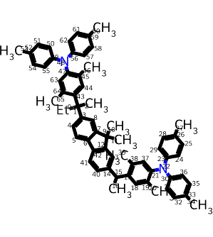 CCC(C)(c1ccc2c(c1)C(C)(C)c1cc(C(C)c3cc(C)c(N(c4ccc(C)cc4)c4ccc(C)cc4)cc3C)ccc1-2)c1cc(C)c(N(c2ccc(C)cc2)c2ccc(C)cc2)cc1C